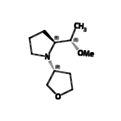 CO[C@@H](C)[C@@H]1CCCN1[C@@H]1CCOC1